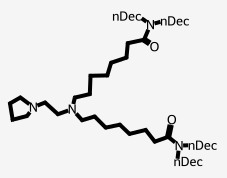 CCCCCCCCCCN(CCCCCCCCCC)C(=O)CCCCCCCN(CCCCCCCC(=O)N(CCCCCCCCCC)CCCCCCCCCC)CCN1CCCC1